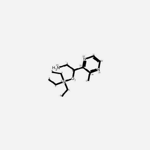 CC[Si](CC)(CC)OC(CN)c1nccnc1C